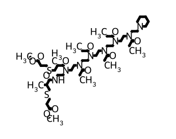 CCC(=O)N(CCN1CCCCC1)CCN(CCN(CCN(CCN(CCN(CCNC(=O)C(C)CSCCC(=O)OC)C(=O)C(C)CSCCC(=O)OC)C(=O)CC)C(=O)CC)C(=O)CC)C(=O)CC